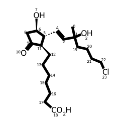 CC(O)(C=C[C@H]1[C@H](O)CC(=O)[C@@H]1CCCCCCC(=O)O)CCCCCl